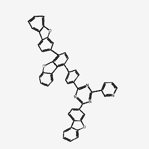 c1cncc(-c2nc(-c3ccc(-c4ccc(-c5ccc6c(c5)oc5ccccc56)c5oc6ccccc6c45)cc3)nc(-c3ccc4c(c3)oc3ccccc34)n2)c1